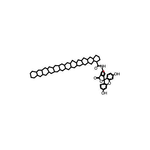 O=C1OC2(c3ccc(O)cc3Oc3cc(O)ccc32)c2ccc(NC(=O)C3CCCC4CC5CC6CC7CC8CC9CC%10CC%11CC%12CC%13CC%14CCCCC%14CC%13CC%12CC%11CC%10CC9CC8CC7CC6CC5CC43)cc21